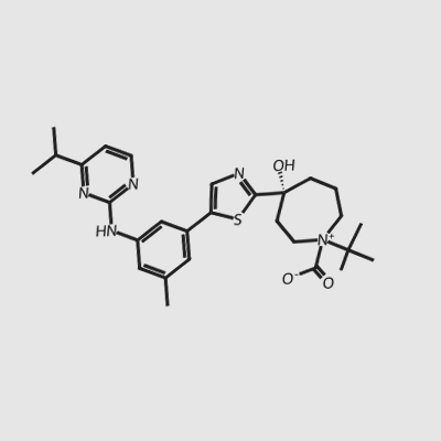 Cc1cc(Nc2nccc(C(C)C)n2)cc(-c2cnc([C@@]3(O)CCC[N+](C(=O)[O-])(C(C)(C)C)CC3)s2)c1